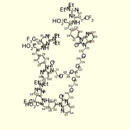 CCN(CC)c1ncc(CC(F)(F)F)c(N[C@@H](Cc2ccc(-n3c(=O)n(CCOCCOCC(COCCOCCn4c(=O)n(-c5ccc(C[C@H](Nc6nc(N(CC)CC)ncc6CC(F)(F)F)C(=O)O)cc5)c5ncccc54)OCCOCCn4c(=O)n(-c5ccc(C[C@H](Nc6nc(N(CC)CC)ncc6CC(F)(F)F)C(=O)O)cc5)c5ncccc54)c4cccnc43)cc2)C(=O)O)n1